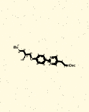 CCCCCCCCCCCCc1cnc(-c2ccc(OC[C@@H](F)CC[C@@H](C)CC)cc2)nc1